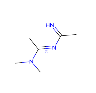 CC(=N)/N=C(\C)N(C)C